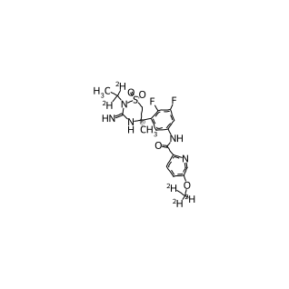 [2H]C([2H])([2H])Oc1ccc(C(=O)Nc2cc(F)c(F)c([C@]3(C)CS(=O)(=O)N(C([2H])([2H])C)C(=N)N3)c2)nc1